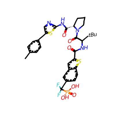 Cc1ccc(-c2cnc(NC(=O)[C@@H]3CCCN3C(=O)C(NC(=O)c3cc4cc(C(F)(F)P(=O)(O)O)ccc4s3)C(C)(C)C)s2)cc1